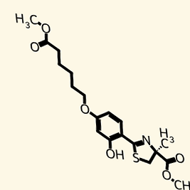 COC(=O)CCCCCOc1ccc(C2=N[C@@](C)(C(=O)OC)CS2)c(O)c1